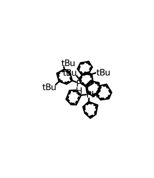 CC(C)(C)c1cc(C(C)(C)C)cc([PH](c2ccccc2)(c2ccccc2)c2ccccc2[PH](c2ccccc2)(c2ccccc2)c2cc(C(C)(C)C)cc(C(C)(C)C)c2)c1